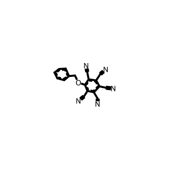 N#Cc1c(C#N)c(C#N)c(OCc2ccccc2)c(C#N)c1C#N